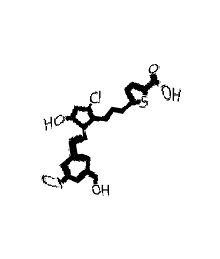 O=C(O)c1ccc(CCCC2[C@@H](/C=C/c3cc(Cl)cc(CO)c3)C(O)C[C@H]2Cl)s1